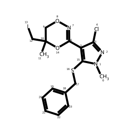 Cn1nc(Cl)c(C2=NOCC(C)(CI)O2)c1SCc1ccccc1